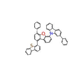 c1ccc(-c2ccc3c4ccccc4n(-c4cccc5c4oc4c(-c6ccccc6)ccc(-c6cccc7c6sc6ccccc67)c45)c3c2)cc1